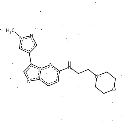 Cn1cc(-c2cnc3ccc(NCCN4CCOCC4)nn23)cn1